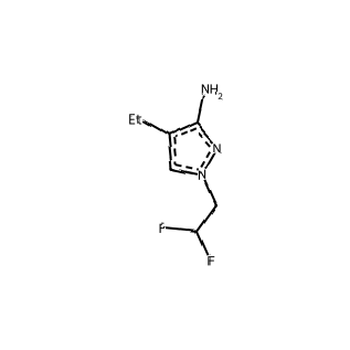 CCc1cn(CC(F)F)nc1N